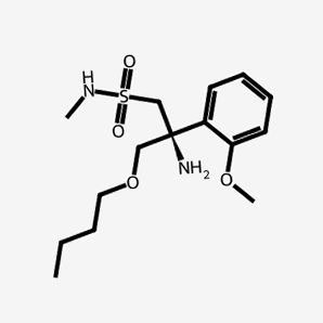 CCCCOC[C@](N)(CS(=O)(=O)NC)c1ccccc1OC